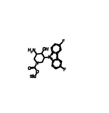 CC(C)(C)OC(=O)N1CC(N)C(O)C(n2c3ccc(F)cc3c3cc(F)ccc32)C1